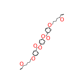 C=CC(=O)CCCCOc1ccc(C(=O)Oc2ccc(OC(=O)c3ccc(OCCCCC(=O)C=C)cc3)cc2)cc1